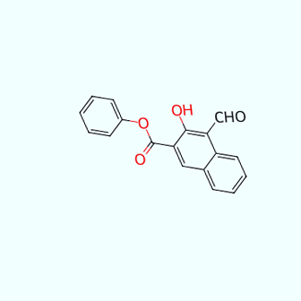 O=Cc1c(O)c(C(=O)Oc2ccccc2)cc2ccccc12